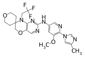 COc1cc(Nc2ncc3c(n2)N(CC(F)(F)F)C2(CCOCC2)CO3)cnc1-n1cnc(C)c1